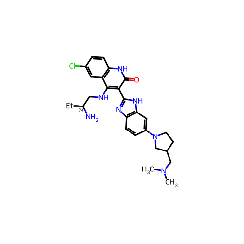 CC[C@H](N)CNc1c(-c2nc3ccc(N4CCC(CN(C)C)C4)cc3[nH]2)c(=O)[nH]c2ccc(Cl)cc12